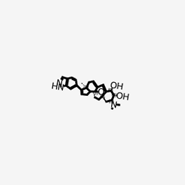 CN(C)[C@H]1C[C@@]23CC[C@@]4(O2)C(=CC[C@]2(C)C(c5ccc6cn[nH]c6c5)=CCC24)C=C3[C@@H](O)[C@@H]1O